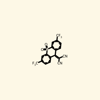 N#CC(C#N)=C1c2ccc(C(F)(F)F)cc2S(=O)(=O)c2cc(C(F)(F)F)ccc21